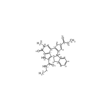 CCNC(=O)c1cc2c(-c3sc(C(=O)OC)cc3N3CCc4ccccc43)cn(C)c(=O)c2[nH]1